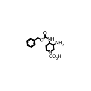 NC1CN(C(=O)O)CCC1NC(=O)OCc1ccccc1